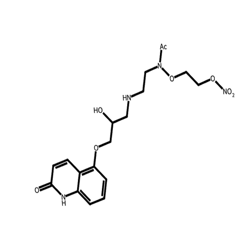 CC(=O)N(CCNCC(O)COc1cccc2[nH]c(=O)ccc12)OCCO[N+](=O)[O-]